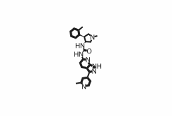 Cc1cc(-c2n[nH]c3nc(NC(=O)N[C@H]4CN(C)C[C@@H]4c4ccccc4C)ccc23)ccn1